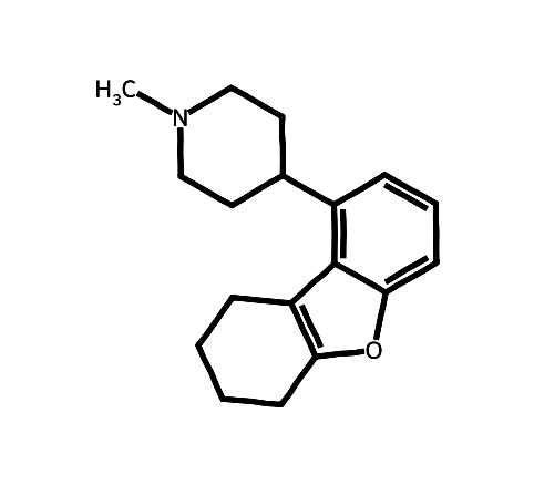 CN1CCC(c2cccc3oc4c(c23)CCCC4)CC1